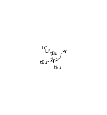 CC(C)[CH2][Zn-2]([C](C)(C)C)([C](C)(C)C)[C](C)(C)C.[Li+].[Li+]